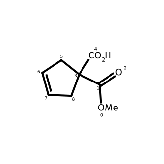 COC(=O)C1(C(=O)O)CC=CC1